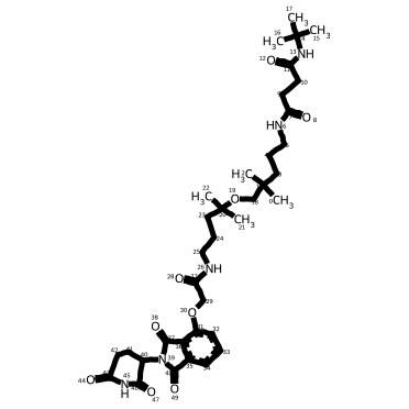 CC(C)(CCCNC(=O)CCC(=O)NC(C)(C)C)COC(C)(C)CCCNC(=O)COc1cccc2c1C(=O)N(C1CCC(=O)NC1=O)C2=O